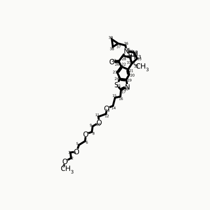 COCCOCCOCCOCCOCCCc1nc2cc3c(cc2s1)C(=O)C1[C@H](C)[C@@]3(C)CCN1CC1CC1